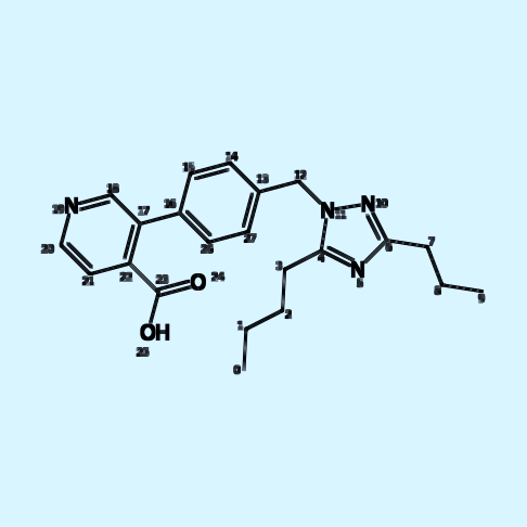 CCCCc1nc(CCC)nn1Cc1ccc(-c2cnccc2C(=O)O)cc1